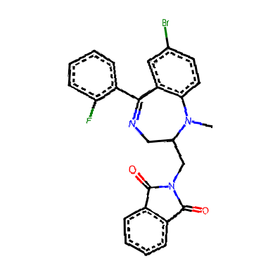 CN1c2ccc(Br)cc2C(c2ccccc2F)=NCC1CN1C(=O)c2ccccc2C1=O